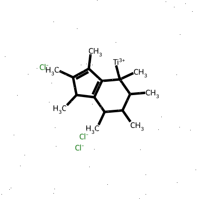 CC1=C(C)C(C)C2=C1[C](C)([Ti+3])C(C)C(C)C2C.[Cl-].[Cl-].[Cl-]